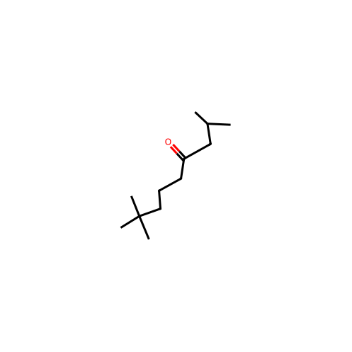 CC(C)CC(=O)CCCC(C)(C)C